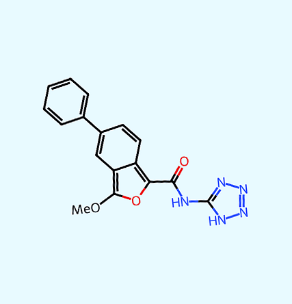 COc1oc(C(=O)Nc2nnn[nH]2)c2ccc(-c3ccccc3)cc12